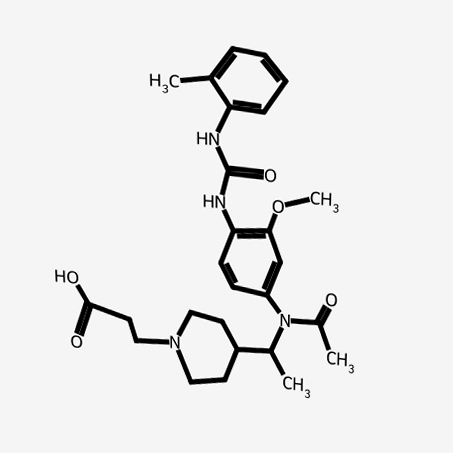 COc1cc(N(C(C)=O)C(C)C2CCN(CCC(=O)O)CC2)ccc1NC(=O)Nc1ccccc1C